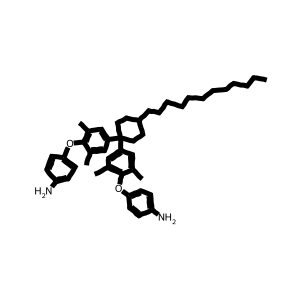 CCCCCCCCCCCCC1CCC(c2cc(C)c(Oc3ccc(N)cc3)c(C)c2)(c2cc(C)c(Oc3ccc(N)cc3)c(C)c2)CC1